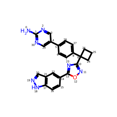 Nc1ncc(-c2ccc(C3(c4noc(-c5ccc6[nH]ncc6c5)n4)CCC3)cc2)cn1